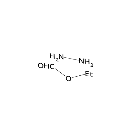 CCOC=O.NN